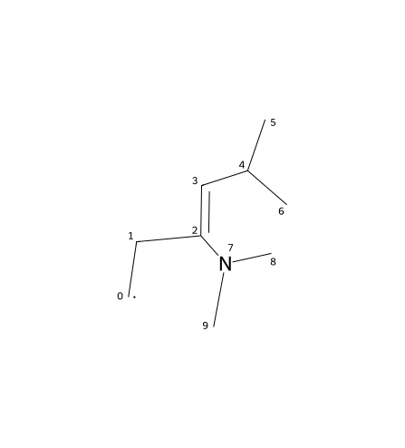 [CH2]CC(=CC(C)C)N(C)C